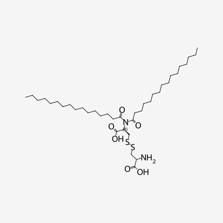 CCCCCCCCCCCCCCCC(=O)N(C(=O)CCCCCCCCCCCCCCC)[C@@H](CSSCC(N)C(=O)O)C(=O)O